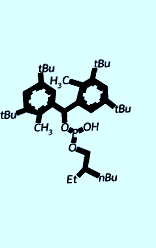 CCCCC(CC)COP(O)OC(c1cc(C(C)(C)C)cc(C(C)(C)C)c1C)c1cc(C(C)(C)C)cc(C(C)(C)C)c1C